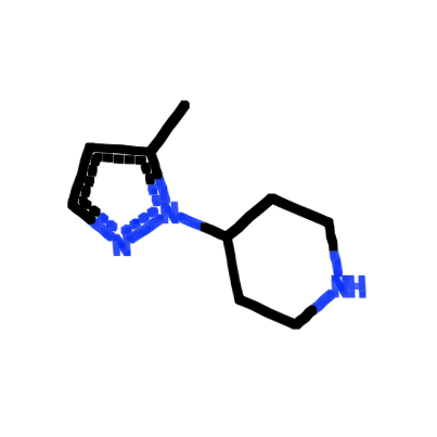 Cc1ccnn1C1CCNCC1